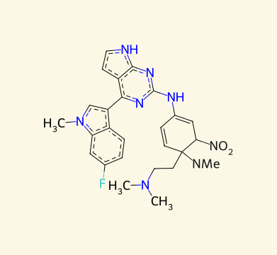 CNC1(CCN(C)C)C=CC(Nc2nc(-c3cn(C)c4cc(F)ccc34)c3cc[nH]c3n2)=CC1[N+](=O)[O-]